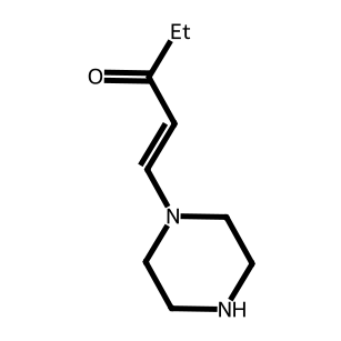 CCC(=O)C=CN1CCNCC1